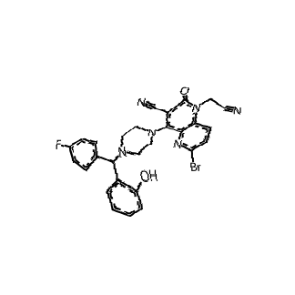 N#CCn1c(=O)c(C#N)c(N2CCN(C(c3ccc(F)cc3)c3ccccc3O)CC2)c2nc(Br)ccc21